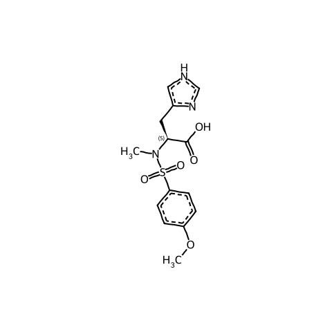 COc1ccc(S(=O)(=O)N(C)[C@@H](Cc2c[nH]cn2)C(=O)O)cc1